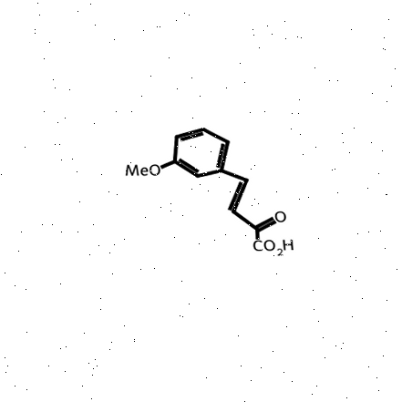 COc1cccc(C=CC(=O)C(=O)O)c1